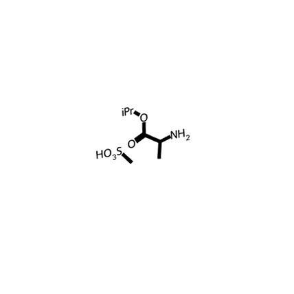 CC(C)OC(=O)C(C)N.CS(=O)(=O)O